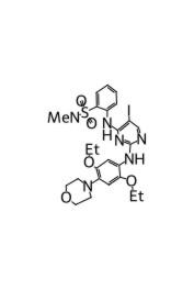 CCOc1cc(N2CCOCC2)c(OCC)cc1Nc1ncc(I)c(Nc2ccccc2S(=O)(=O)NC)n1